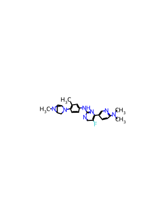 Cc1cc(Nc2ncc(F)c(-c3ccc(N(C)C)nc3)n2)ccc1N1CC2CC1CN2C